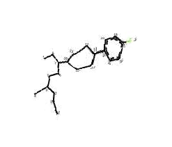 CCCC(C)CCC(CC)C1CCC(c2ccc(F)cc2)CC1